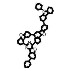 c1ccc(-c2ccc3oc4c(-c5ccccc5)nc(-c5cccc6oc7ccc(-c8ccc9oc%10ccc(-c%11ccc%12c(c%11)c%11ccccc%11n%12-c%11ccccc%11)cc%10c9c8)cc7c56)nc4c3c2)cc1